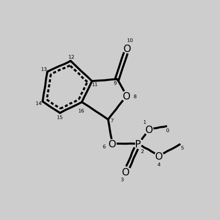 COP(=O)(OC)OC1OC(=O)c2ccccc21